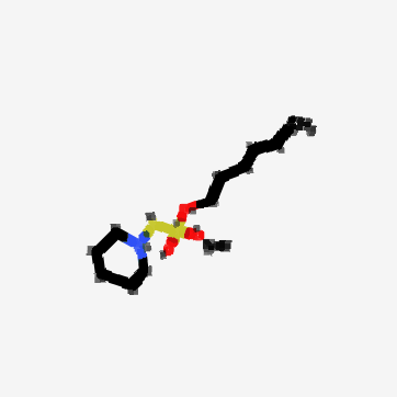 CCCCCCOS(=O)(=O)SN1CCCCC1.[NaH]